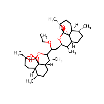 CCO[C@@H](C[C@H]1O[C@@H]2O[C@]3(C)CC[C@H]4[C@H](C)CC[C@@H]([C@H]1C)[C@@]24OO3)C1O[C@@H]2O[C@]3(C)CC[C@H]4[C@H](C)CC[C@@H]([C@H]1C)[C@@]24OO3